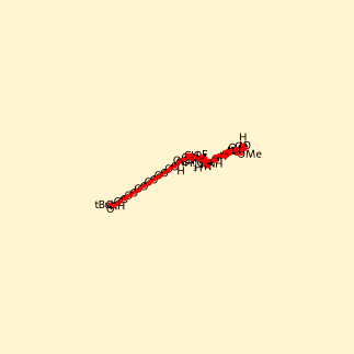 COc1ccc(C(=O)N2CCC3(CCN(CCc4ccc(-c5cc6c(-c7cc(F)cc(NC(=O)c8ccc(C(C)(C)OC(=O)CNC(=O)CCOCCOCCOCCOCCOCCOCCOCCOCCOCCOCCOCCOCCNC(=O)OC(C)(C)C)cc8F)c7C)ncnc6[nH]5)cc4)CC3)CC2)cc1N1CCC(=O)NC1=O